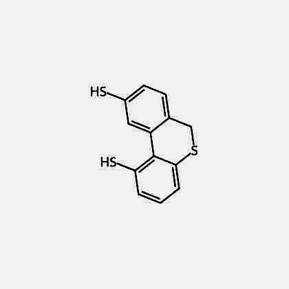 Sc1ccc2c(c1)-c1c(S)cccc1SC2